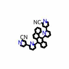 N#Cc1cc(-c2cccc(-c3c4ccccc4c(-c4cccc(-c5ccnc(C#N)c5)n4)c4c3ccc3ccccc34)n2)ccn1